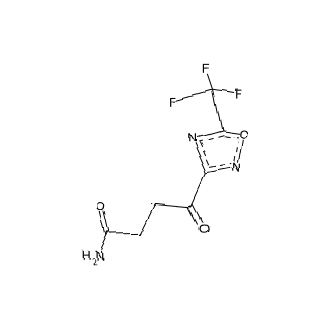 NC(=O)C[CH]C(=O)c1noc(C(F)(F)F)n1